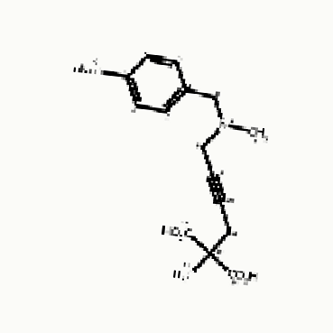 CCCCCCCCCc1ccc(CN(C)CC#CCC(C)(C(=O)O)C(=O)O)cc1